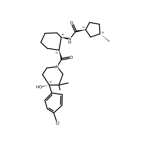 C[C@H]1CC[C@H](C(=O)N[C@@H]2CCCC[C@@H]2C(=O)N2CC[C@](O)(c3ccc(Cl)cc3)C(C)(C)C2)C1